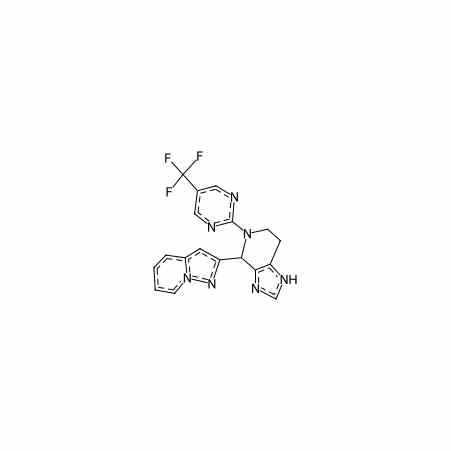 FC(F)(F)c1cnc(N2CCc3[nH]cnc3C2c2cc3ccccn3n2)nc1